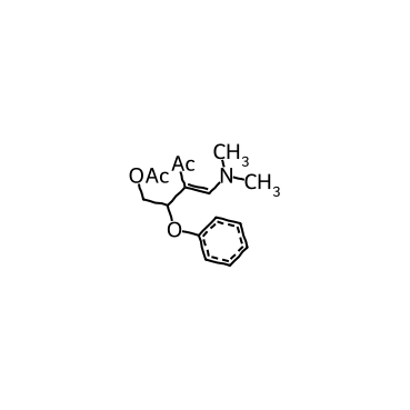 CC(=O)OCC(Oc1ccccc1)C(=CN(C)C)C(C)=O